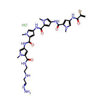 C=C(Br)C(=O)Nc1cc(C(=O)Nc2cc(C(=O)Nc3cc(C(=O)Nc4cc(C(=O)NCCNCC=NN)n(C)c4)n(C)c3)n(C)c2)n(C)c1.Cl